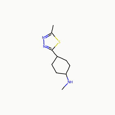 CNC1CCC(c2nnc(C)s2)CC1